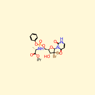 CC(C)OC(=O)[C@H](C)N[P@](=O)(OC[C@H]1O[C@@H](n2c(=O)cc[nH]c2=O)C(Br)(Br)[C@@H]1O)Oc1ccccc1